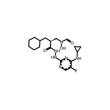 O=CN(O)C[C@H](CC1CCCCC1)C(=O)NNc1ncc(F)c(NC2CC2)n1